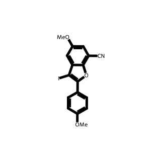 COc1ccc(-c2oc3c(C#N)cc(OC)cc3c2I)cc1